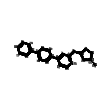 F[C@H]1CCN(Cc2cc(-c3ccc(-c4ccccc4)cc3)ccn2)C1